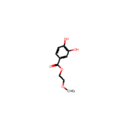 O=COCCOC(=O)c1ccc(O)c(O)c1